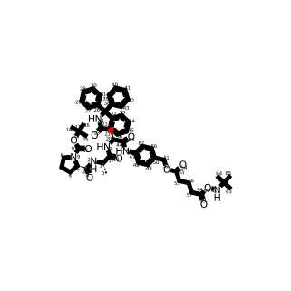 C[C@H](NC(=O)[C@@H]1CCCN1C(=O)OC(C)(C)C)C(=O)N[C@@H](CC(=O)NC(c1ccccc1)(c1ccccc1)c1ccccc1)C(=O)Nc1ccc(COC(=O)CCCC(=O)ONC(C)(C)C)cc1